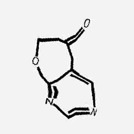 O=C1COc2ncncc21